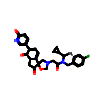 CC(C1CC1)N(Cc1ccc(F)cc1)C(=O)CN1COC2(C1)C(=O)CC1C(=O)C(c3ccc(=O)[nH]c3)=CC=C12